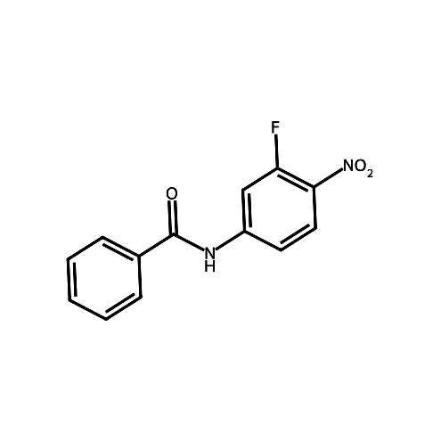 O=C(Nc1ccc([N+](=O)[O-])c(F)c1)c1ccccc1